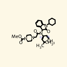 C=C(C)/C=C(\C=C/C)N(C(=O)CN1CCN(C(=O)OC)CC1)C1C(=O)N(C2CCCCC2)c2ccccc21